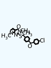 CC(Sc1nc2c(ccn2C)c(=O)n1C)c1ccc(C(=O)c2ccc(Cl)cc2)cc1